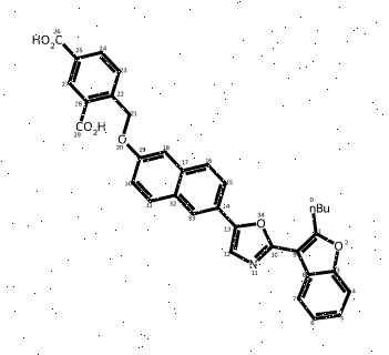 CCCCc1oc2ccccc2c1-c1ncc(-c2ccc3cc(OCc4ccc(C(=O)O)cc4C(=O)O)ccc3c2)o1